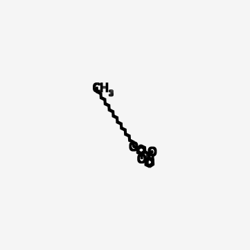 CCCCCCCCCCCCCCCCCCCOc1ccc(C(=O)c2ccccc2)c(O)c1